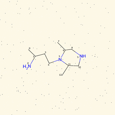 CC(N)CCN1C(C)CNCC1C